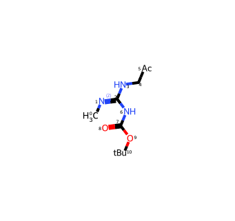 C/N=C(/NCC(C)=O)NC(=O)OC(C)(C)C